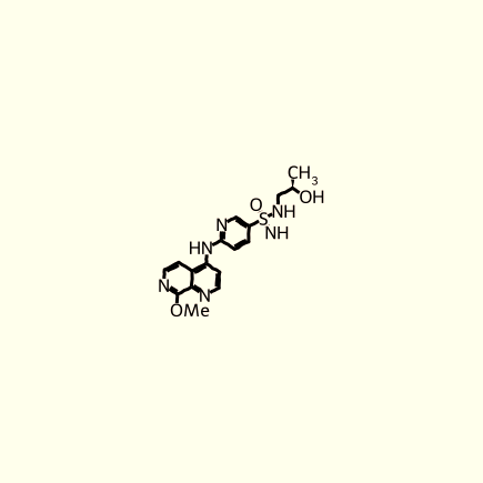 COc1nccc2c(Nc3ccc(S(=N)(=O)NC[C@@H](C)O)cn3)ccnc12